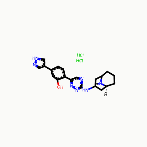 CN1C2CCC[C@H]1CC(Nc1ncc(-c3ccc(-c4cn[nH]c4)cc3O)nn1)C2.Cl.Cl